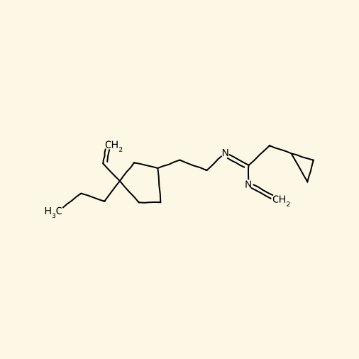 C=CC1(CCC)CCC(CC/N=C(/CC2CC2)N=C)C1